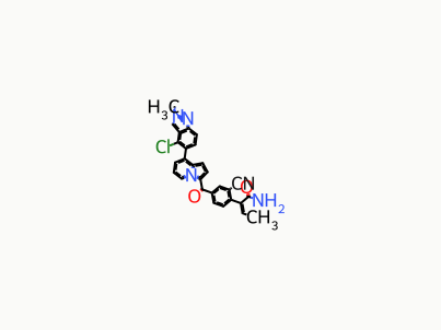 CC=C(C(N)=O)c1ccc(C(=O)c2ccc3c(-c4ccc5nn(C)cc5c4Cl)cccn23)cc1C#N